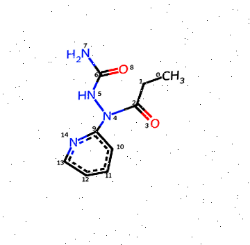 CCC(=O)N(NC(N)=O)c1ccccn1